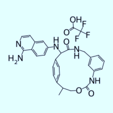 CC1COC(=O)Nc2cccc(c2)CNC(=O)C(Nc2ccc3c(N)nccc3c2)c2ccc1cc2.O=C(O)C(F)(F)F